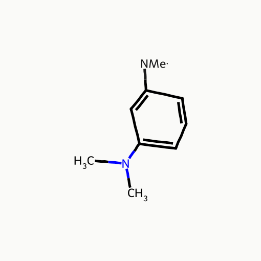 C[N]c1cccc(N(C)C)c1